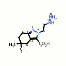 CC1(C)CCc2nn(CCNN)c(C(=O)O)c2C1